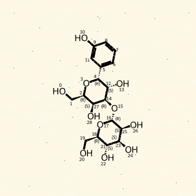 OC[C@H]1O[C@H](c2cccc(O)c2)[C@H](O)[C@@H](O[C@H]2O[C@H](CO)[C@@H](O)[C@H](O)[C@@H]2O)[C@H]1O